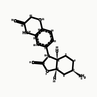 N[C@H]1CC[C@H]2[C@@H](C1)OC(=O)N2c1ccc2c(n1)NC(=O)CO2